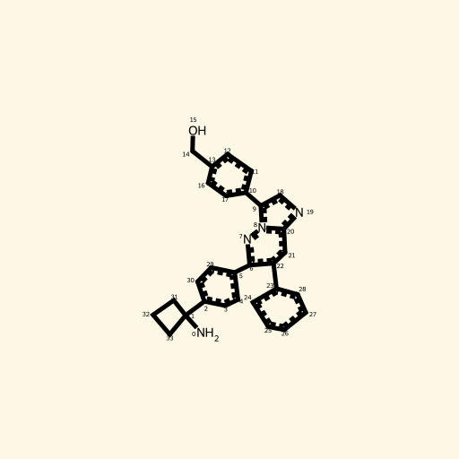 NC1(c2ccc(-c3nn4c(-c5ccc(CO)cc5)cnc4cc3-c3ccccc3)cc2)CCC1